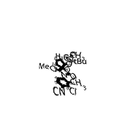 COC1N(c2ccc(C#N)c(Cl)c2C)C(=O)OC12CCCC2O[Si](C)(C)C(C)(C)C